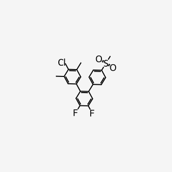 Cc1cc(-c2cc(F)c(F)cc2-c2ccc(S(C)(=O)=O)cc2)cc(C)c1Cl